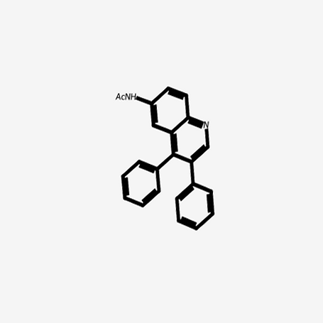 CC(=O)Nc1ccc2ncc(-c3ccccc3)c(-c3ccccc3)c2c1